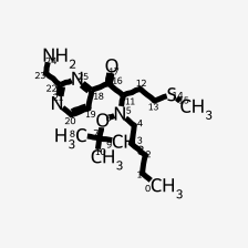 CCCCCN(OC(C)(C)C)C(CCSC)C(=O)c1ccnc(CN)n1